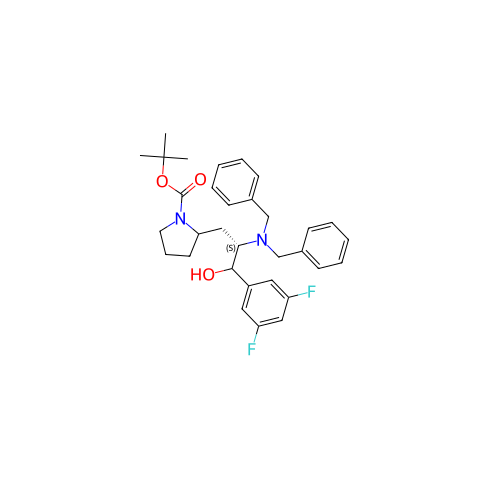 CC(C)(C)OC(=O)N1CCCC1C[C@@H](C(O)c1cc(F)cc(F)c1)N(Cc1ccccc1)Cc1ccccc1